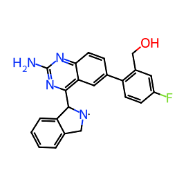 Nc1nc(C2[N]Cc3ccccc32)c2cc(-c3ccc(F)cc3CO)ccc2n1